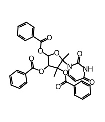 CC1(OC(=O)c2ccccc2)C(OC(=O)c2ccccc2)C(OC(=O)c2ccccc2)OC1(C)n1ccc(=O)[nH]c1=O